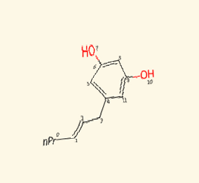 CCCC=CCc1cc(O)cc(O)c1